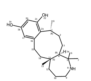 C[C@@H]1CC[C@H]2C(C)(C)NCCC[C@]2(C)CCc2cc(O)cc(O)c21